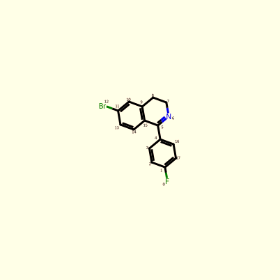 Fc1ccc(C2=NCCc3cc(Br)ccc32)cc1